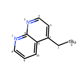 CC(C)(C)Cc1ccnc2ncccc12